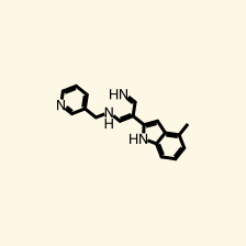 Cc1cccc2[nH]c(/C(C=N)=C/NCc3cccnc3)cc12